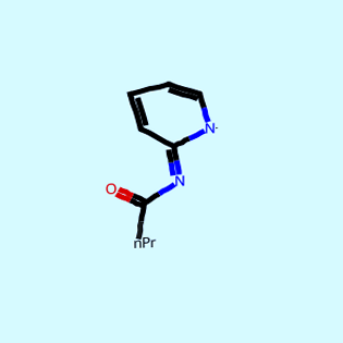 CCCC(=O)N=C1C=CC=C[N]1